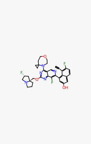 C#Cc1c(F)ccc2cc(O)cc(-c3ncc4c(N5CCOCCC56CC6)nc(OC[C@@]56CCCN5C[C@H](F)C6)nc4c3F)c12